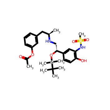 CC(=O)Oc1cccc(C[C@@H](C)NC[C@@H](O[Si](C)(C)C(C)(C)C)c2ccc(O)c(NS(C)(=O)=O)c2)c1